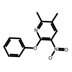 Cc1[c]c([N+](=O)[O-])c(Oc2ccccc2)nc1C